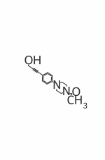 CC(=O)N1CCN(c2ccc(C#CCO)cc2)CC1